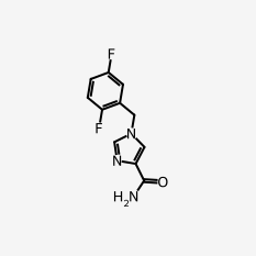 NC(=O)c1cn(Cc2cc(F)ccc2F)cn1